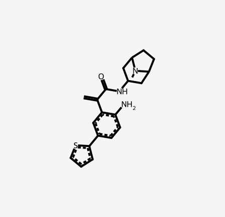 C=C(C(=O)NC1CC2CCC(C1)N2C)c1cc(-c2cccs2)ccc1N